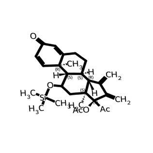 C=C1C(=C)[C@](OC(C)=O)(C(C)=O)[C@@]2(C)CC(O[Si](C)(C)C)[C@H]3[C@@H](CCC4=CC(=O)C=C[C@@]43C)[C@H]12